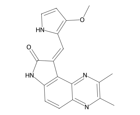 COc1cc[nH]c1C=C1C(=O)Nc2ccc3nc(C)c(C)nc3c21